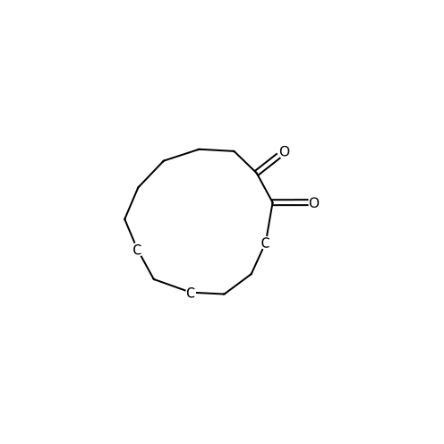 O=C1CCCCCCCCCCCC1=O